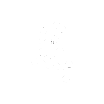 c1ccc(-n2c3ccccc3c3c4ccc5cc6c(c7ccccc7n6-c6ccccc6)c6c5c4c(cc32)n6-c2cccc(-c3nc(-c4cccc5ccccc45)cc(-c4cccc5ccccc45)n3)c2)cc1